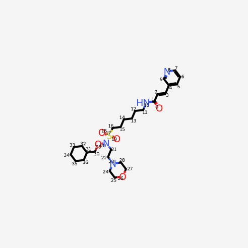 O=C(/C=C/c1cccnc1)NCCCCCCS(=O)(=O)N(CCN1CCOCC1)OCC1CCCCC1